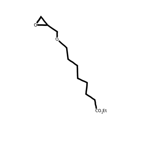 CCOC(=O)CCCCCCCOCC1CO1